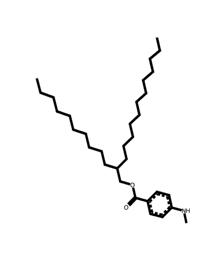 CCCCCCCCCCCCC(CCCCCCCCCC)COC(=O)c1ccc(NC)cc1